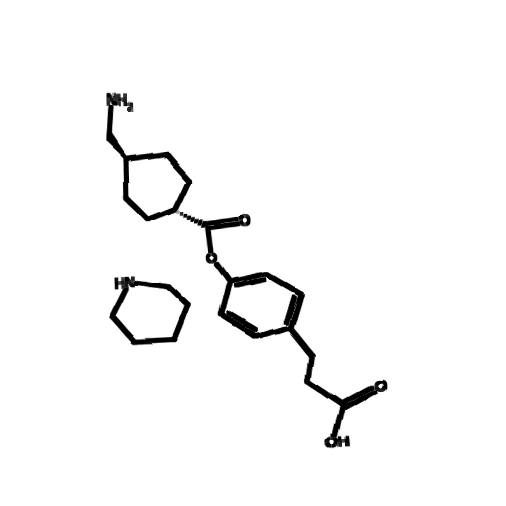 C1CCNCC1.NC[C@H]1CC[C@H](C(=O)Oc2ccc(CCC(=O)O)cc2)CC1